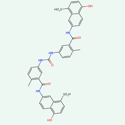 Cc1ccc(NC(=O)Nc2ccc(C)c(C(=O)Nc3ccc4c(O)ccc(S(=O)(=O)O)c4c3)c2)cc1C(=O)Nc1ccc2c(O)ccc(S(=O)(=O)O)c2c1